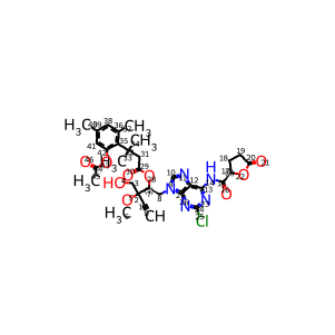 C#CC(CO)(OC)[C@H](Cn1cnc2c(NC(=O)[C@H]3CCC(=O)O3)nc(Cl)nc21)OC(=O)CC(C)(C)c1c(C)cc(C)cc1OC(C)=O